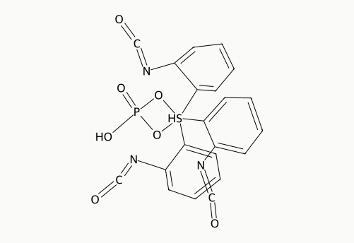 O=C=Nc1ccccc1[SH]1(c2ccccc2N=C=O)(c2ccccc2N=C=O)OP(=O)(O)O1